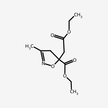 CCOC(=O)CC1(C(=O)OCC)CC(C)=NO1